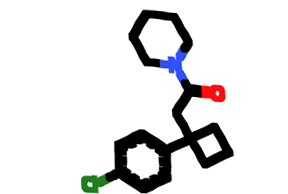 O=C(CC1(c2ccc(Cl)cc2)CCC1)N1CCCCC1